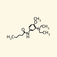 CCCCC(=O)Nc1ccc(OC)c(N(CC)CC)c1